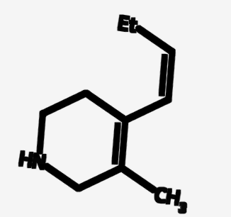 CC/C=C\C1=C(C)CNCC1